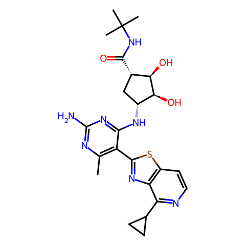 Cc1nc(N)nc(N[C@@H]2C[C@H](C(=O)NC(C)(C)C)[C@@H](O)[C@H]2O)c1-c1nc2c(C3CC3)nccc2s1